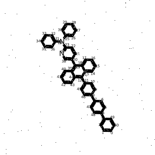 c1ccc(-c2ccc(-c3ccc(-c4c5ccccc5c(-c5ccc(N(c6ccccc6)c6ccccc6)nc5)c5ccccc45)cc3)cc2)cc1